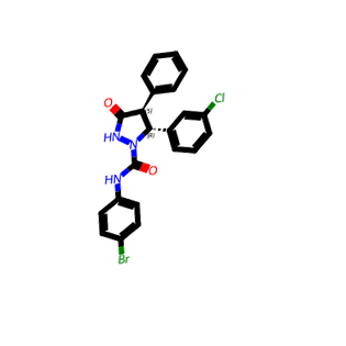 O=C1NN(C(=O)Nc2ccc(Br)cc2)[C@@H](c2cccc(Cl)c2)[C@@H]1c1ccccc1